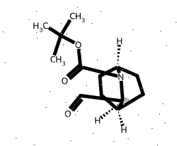 CC(C)(C)OC(=O)N1[C@H]2CC[C@H](CC2)[C@H]1C=O